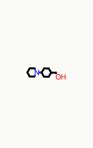 OCC1CCC(N2CCCCC2)CC1